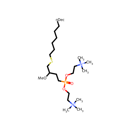 CCCCCCCCCCCCCCCCSCC(CCP(=O)(OCC[N+](C)(C)C)OCC[N+](C)(C)C)OC